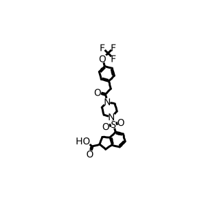 O=C(O)C1Cc2cccc(S(=O)(=O)N3CCN(C(=O)Cc4ccc(OC(F)(F)F)cc4)CC3)c2C1